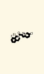 CCC1c2c(F)cccc2CCN1C(=O)c1cc2ccc(Cl)cn2n1